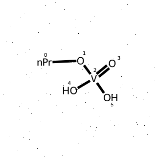 CCC[O][V](=[O])([OH])[OH]